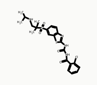 CC(C)NCC(C)(C)S(=O)(=O)c1ccc2nc(NC(=O)NC(=O)c3ccccc3Cl)sc2c1